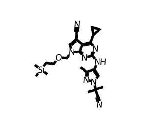 Cc1nn(C(C)(C)C#N)cc1Nc1nc(C2CC2)c2c(C#N)cn(COCC[Si](C)(C)C)c2n1